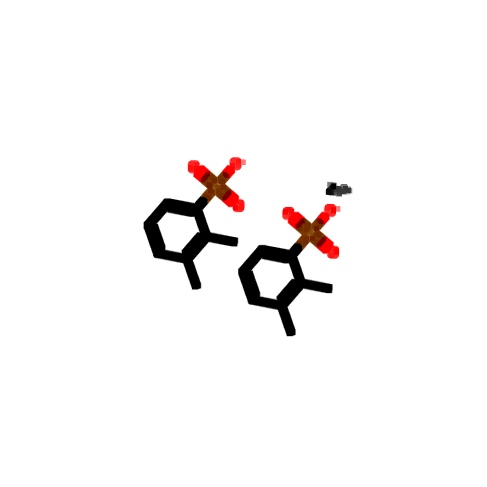 Cc1cccc(S(=O)(=O)[O-])c1C.Cc1cccc(S(=O)(=O)[O-])c1C.[Zn+2]